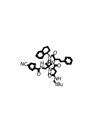 CC(C)(C)CNC(=O)CC(NC1(CNC(=O)c2ccc(C#N)cc2)COC1)C(=O)NC(CCc1ccccc1)C(=O)N[C@@H]1CCCc2ccccc21